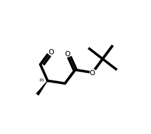 C[C@@H](C=O)CC(=O)OC(C)(C)C